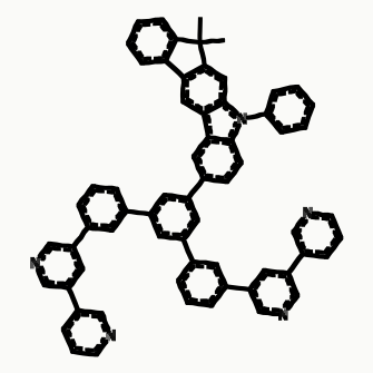 CC1(C)c2ccccc2-c2cc3c4cc(-c5cc(-c6cccc(-c7cncc(-c8cccnc8)c7)c6)cc(-c6cccc(-c7cncc(-c8cccnc8)c7)c6)c5)ccc4n(-c4ccccc4)c3cc21